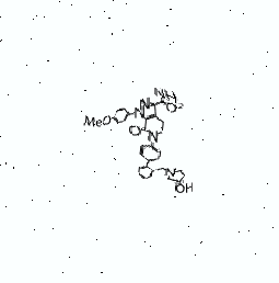 COc1ccc(-n2nc(C(N)=O)c3c2C(=O)N(c2ccc(-c4ccccc4CN4CC[C@H](O)C4)cc2)CC3)cc1